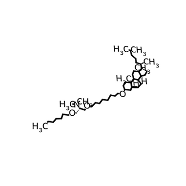 CCCCCCCOC[C@@H](COCCCCCCCCOC1CCC2(C)C(=CCC3[C@@H]2CCC2(C)[C@@H]([C@H](C)CCCC(C)C)CC[C@@H]32)C1)N(C)C